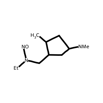 CCN(CC1CC(NC)CC1C)N=O